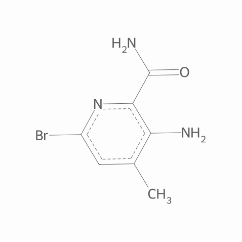 Cc1cc(Br)nc(C(N)=O)c1N